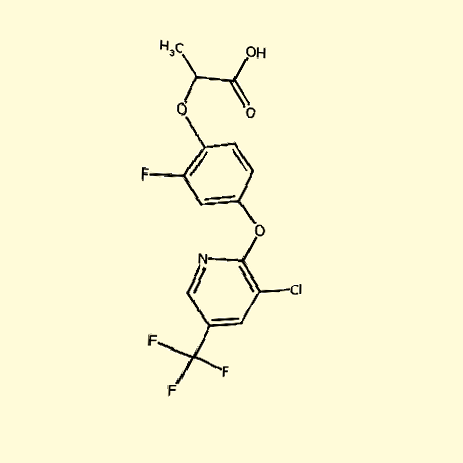 CC(Oc1ccc(Oc2ncc(C(F)(F)F)cc2Cl)cc1F)C(=O)O